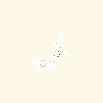 Cc1cc(C2=NSC(c3cc(Cl)c(Cl)c(Cl)c3)(C(F)(F)F)C2)ccc1C(=O)NC1C[S+]([O-])C1